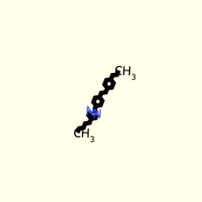 CCCCCc1cnc(C2CCC(CCC3CCC(CCC)CC3)CC2)nc1